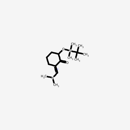 CN(C)/C=C1\CCCC(O[Si](C)(C)C(C)(C)C)C1=O